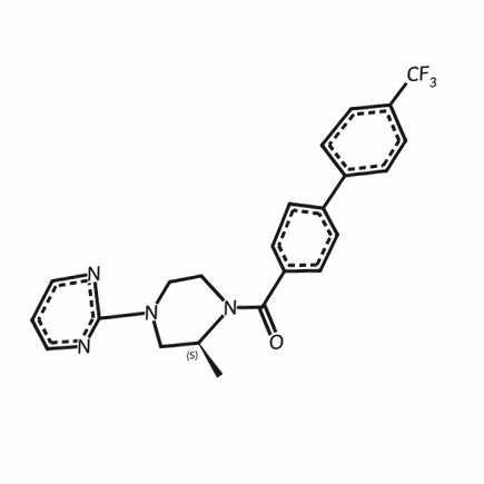 C[C@H]1CN(c2ncccn2)CCN1C(=O)c1ccc(-c2ccc(C(F)(F)F)cc2)cc1